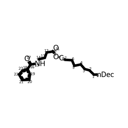 CCCCCCCCCCCCCCCCCCOC(=O)CCCNC(=O)c1ccccc1